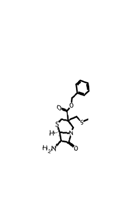 CSCC1(C(=O)OCc2ccccc2)CS[C@@H]2C(N)C(=O)N2C1